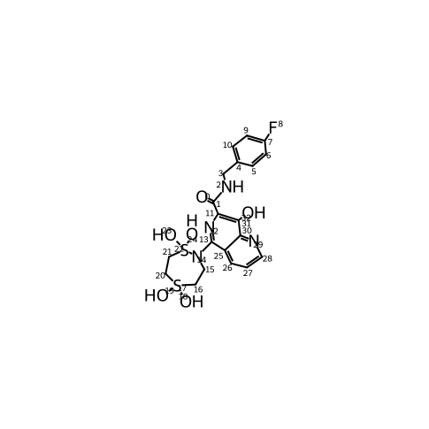 O=C(NCc1ccc(F)cc1)c1nc(N2CCS(O)(O)CCS2(O)O)c2cccnc2c1O